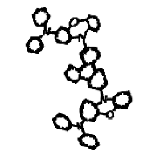 c1ccc(N(c2ccccc2)c2ccc3c(c2)Oc2ccccc2N3c2ccc3c4ccc(N5c6ccccc6Oc6cc(N(c7ccccc7)c7ccccc7)ccc65)cc4c4ccccc4c3c2)cc1